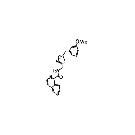 COc1cccc(CC2CC(CNC(=O)c3nccc4ccccc34)=NO2)c1